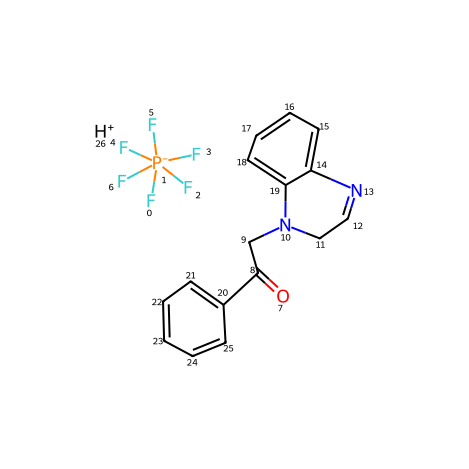 F[P-](F)(F)(F)(F)F.O=C(CN1CC=Nc2ccccc21)c1ccccc1.[H+]